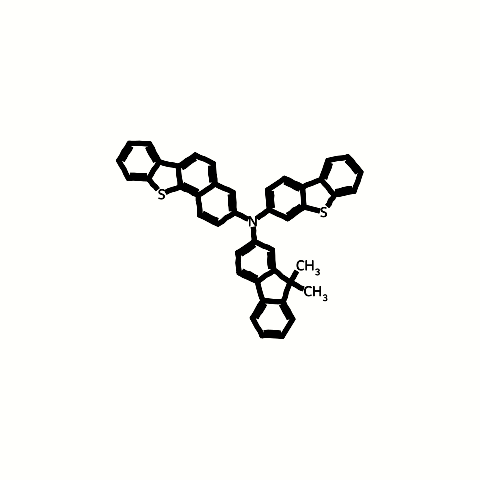 CC1(C)c2ccccc2-c2ccc(N(c3ccc4c(ccc5c6ccccc6sc45)c3)c3ccc4c(c3)sc3ccccc34)cc21